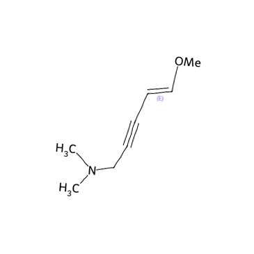 CO/C=C/C#CCN(C)C